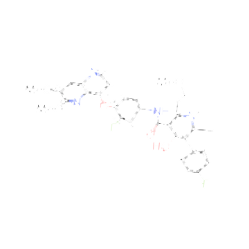 COCCc1nc(C)c(-c2ccc(F)cc2)c(O)c1C(=O)Nc1ccc(Oc2ccnc3cc(OC)c(OC)nc23)c(F)c1